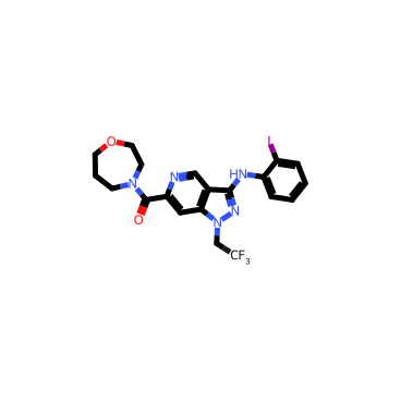 O=C(c1cc2c(cn1)c(Nc1ccccc1I)nn2CC(F)(F)F)N1CCCOCC1